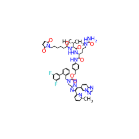 Cc1cccc(-c2nc(CN(Cc3ccccc3-c3cc(F)cc(F)c3)C(=O)OCc3ccc(NC(=O)C(CCCNC(N)=O)NC(=O)C(NC(=O)CCCCCN4C(=O)C=CC4=O)C(C)C)cc3)[nH]c2-c2ccc3ncnn3c2)n1